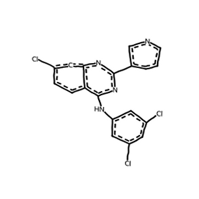 Clc1cc(Cl)cc(Nc2nc(-c3cccnc3)nc3cc(Cl)ccc23)c1